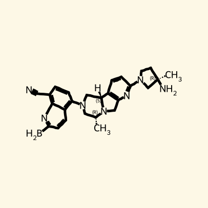 Bc1ccc2c(N3C[C@@H](C)N4Cc5nc(N6CC[C@@](C)(N)C6)ccc5[C@H]4C3)ccc(C#N)c2n1